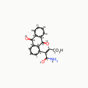 NC(=O)C(=CC(=O)O)c1cccc2c1C(=O)c1ccccc1C2=O